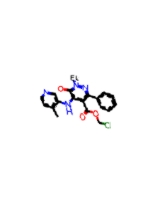 CCn1nc(-c2ccccc2)c(C(=O)OCCl)c(Nc2cnccc2C)c1=O